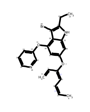 C=C/C(=C\C=C/C)Oc1cc(Oc2cccnc2)c2c(Br)c(CC)[nH]c2c1